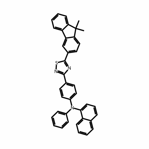 CC1(C)c2ccccc2-c2cc(-c3nc(-c4ccc(N(c5ccccc5)c5cccc6ccccc56)cc4)ns3)ccc21